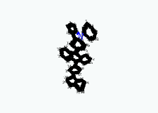 C1=CCC=C(n2c3ccccc3c3cc(-c4c5ccccc5c(-c5ccc(-c6cccc7ccccc67)cc5)c5ccccc45)ccc32)C=C1